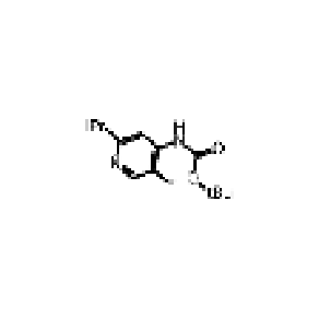 CC(C)c1cc(NC(=O)OC(C)(C)C)c(F)cn1